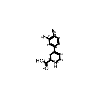 O=C(O)C1CC(c2ccc(F)c(F)c2)=CCN1